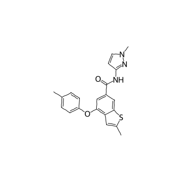 Cc1ccc(Oc2cc(C(=O)Nc3ccn(C)n3)cc3sc(C)cc23)cc1